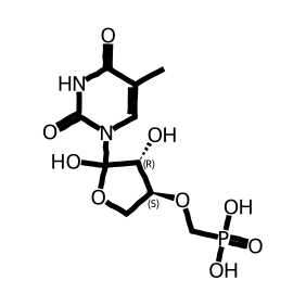 Cc1cn(C2(O)OC[C@H](OCP(=O)(O)O)[C@H]2O)c(=O)[nH]c1=O